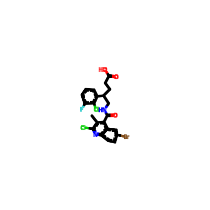 Cc1c(Cl)nc2ccc(Br)cc2c1C(=O)NCC(CCC(=O)O)c1cccc(F)c1Cl